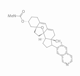 CNC(=O)O[C@@H]1CCC2=CC3=CC[C@]4(C)C(c5ccc6ccncc6c5)CC[C@H]4[C@@]34CC[C@]2(C1)O4